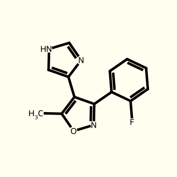 Cc1onc(-c2ccccc2F)c1-c1c[nH]cn1